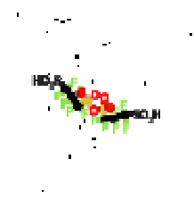 O=S(=O)(O)C(F)(F)C(F)(F)C(F)(F)S(=O)(=O)OS(=O)(=O)C(F)(F)C(F)(F)C(F)(F)S(=O)(=O)O